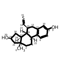 C[C@]12CC[C@@H]3c4ccc(O)cc4C[C@H](C=S)[C@H]3[C@@H]1C[C@H](O)C2